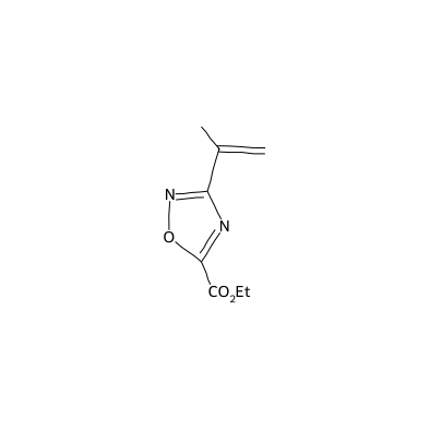 C=C(C)c1noc(C(=O)OCC)n1